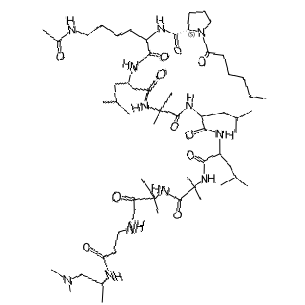 CCCCCC(=O)N1CCC[C@H]1C(=O)NC(CCCCNC(C)=O)C(=O)NC(CC(C)C)C(=O)NC(C)(C)C(=O)NC(CC(C)C)C(=O)NC(CC(C)C)C(=O)NC(C)(C)C(=O)NC(C)(C)C(=O)NCCC(=O)NC(C)CN(C)C